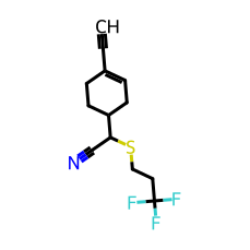 C#CC1=CCC(C(C#N)SCCC(F)(F)F)CC1